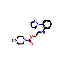 O=C(OCCNc1ccccc1-n1cccn1)N1CCNCC1